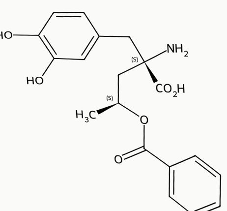 C[C@@H](C[C@@](N)(Cc1ccc(O)c(O)c1)C(=O)O)OC(=O)c1ccccc1